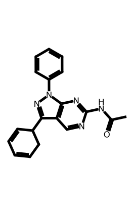 CC(=O)Nc1ncc2c(C3C=CC=CC3)nn(-c3ccccc3)c2n1